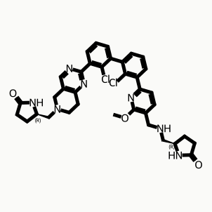 COc1nc(-c2cccc(-c3cccc(-c4ncc5c(n4)CCN(C[C@H]4CCC(=O)N4)C5)c3Cl)c2Cl)ccc1CNC[C@H]1CCC(=O)N1